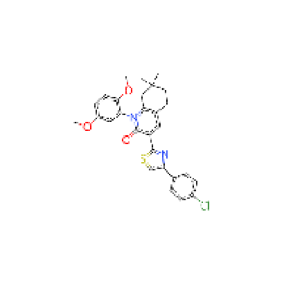 COc1ccc(OC)c(-n2c3c(cc(-c4nc(-c5ccc(Cl)cc5)cs4)c2=O)CCC(C)(C)C3)c1